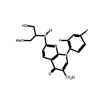 CCOC(=O)c1cn(-c2ccc(F)cc2F)c2nc(N(CC)C(CO)COC)ccc2c1=O